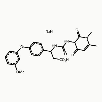 COc1cccc(Oc2ccc(C(CC(=O)O)NC(=O)NC3C(=O)C=C(C)N(C)C3=O)cc2)c1.[NaH]